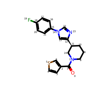 O=C(c1ccsc1)N1CCC[C@H](c2cn(-c3ccc(F)cc3)cn2)C1